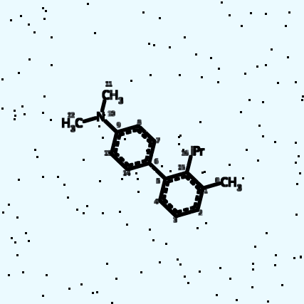 Cc1cccc(-c2ccc(N(C)C)cc2)c1C(C)C